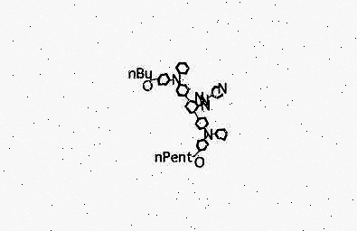 CCCCCC(=O)c1ccc(N(c2ccccc2)c2ccc(-c3ccc(-c4ccc(N(c5ccccc5)c5ccc(C(=O)CCCC)cc5)cc4)c4nn(-c5ccncc5)nc34)cc2)cc1